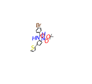 CC(C)(C)OC(=O)Nc1ccc(-c2cccs2)cc1NC(=O)c1ccc(Br)cc1